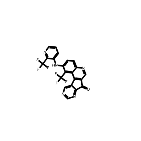 O=C1c2cnc3ccc(Nc4cccnc4C(F)(F)F)c(C(F)(F)F)c3c2-c2cncnc21